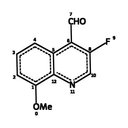 COc1cccc2c(C=O)c(F)cnc12